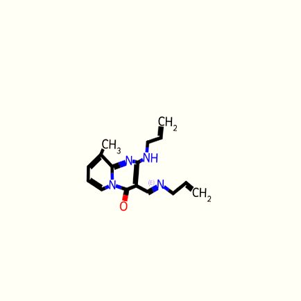 C=CC/N=C/c1c(NCC=C)nc2c(C)cccn2c1=O